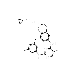 Cc1cc(C)cc(Nc2ncc(F)c(Nc3ccc4c(c3)CCN(SOOC3CC3)C4)n2)c1